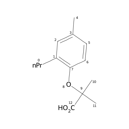 CCCc1cc(C)ccc1OC(C)(C)C(=O)O